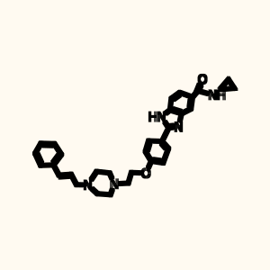 O=C(NC1CC1)c1ccc2[nH]c(-c3ccc(OCCN4CCN(CC=Cc5ccccc5)CC4)cc3)nc2c1